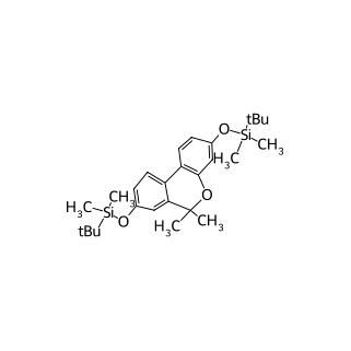 CC1(C)Oc2cc(O[Si](C)(C)C(C)(C)C)ccc2-c2ccc(O[Si](C)(C)C(C)(C)C)cc21